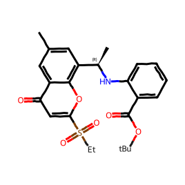 CCS(=O)(=O)c1cc(=O)c2cc(C)cc([C@@H](C)Nc3ccccc3C(=O)OC(C)(C)C)c2o1